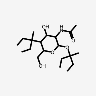 CCC(C)(CC)OC1OC(CO)C(C(C)(CC)CC)C(O)C1NC(C)=O